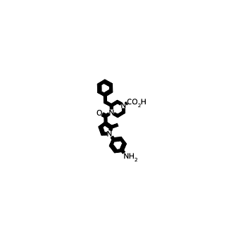 Cc1c(C(=O)N2CCN(C(=O)O)CC2Cc2ccccc2)ccn1-c1ccc(N)cc1